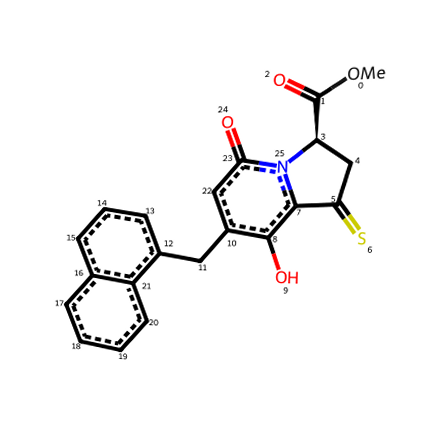 COC(=O)[C@H]1CC(=S)c2c(O)c(Cc3cccc4ccccc34)cc(=O)n21